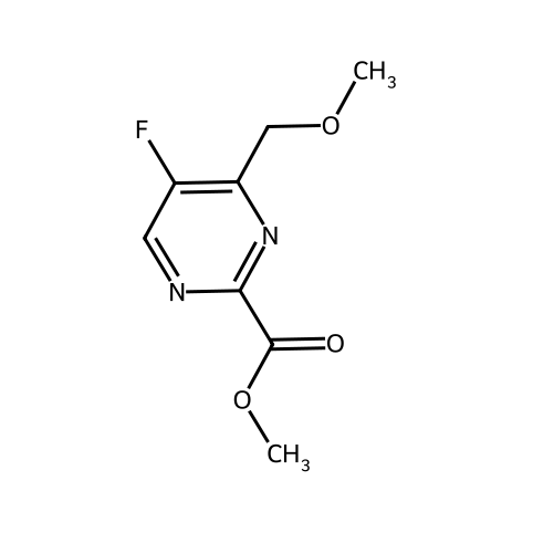 COCc1nc(C(=O)OC)ncc1F